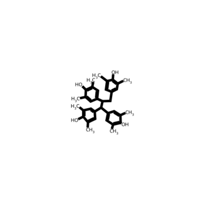 Cc1cc(CC(c2cc(C)c(O)c(C)c2)C(c2cc(C)c(O)c(C)c2)c2cc(C)c(O)c(C)c2)cc(C)c1O